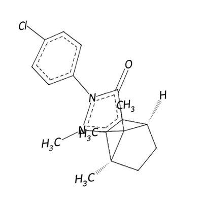 Cn1c2c(c(=O)n1-c1ccc(Cl)cc1)[C@H]1CC[C@]2(C)C1(C)C